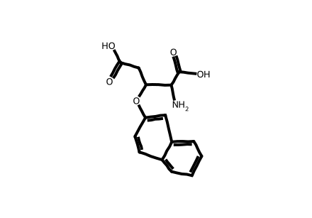 NC(C(=O)O)C(CC(=O)O)Oc1ccc2ccccc2c1